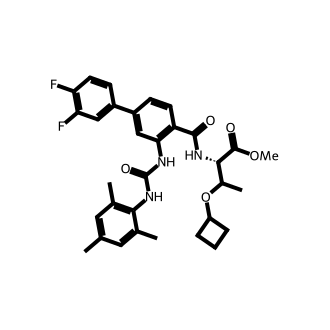 COC(=O)[C@@H](NC(=O)c1ccc(-c2ccc(F)c(F)c2)cc1NC(=O)Nc1c(C)cc(C)cc1C)C(C)OC1CCC1